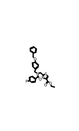 CCOC(=O)c1csc(CN(Cc2ccc(OCc3ccccc3)cc2)C(=O)c2ccc(F)cc2)n1